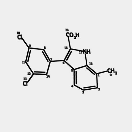 Cc1cccc2c(-c3cc(Cl)cc(Cl)c3)c(C(=O)O)[nH]c12